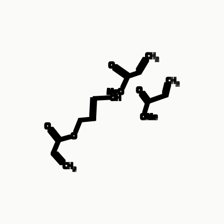 C=CC(=O)OC.C=CC(=O)OC.C=CC(=O)OCC=CO